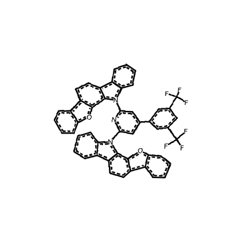 FC(F)(F)c1cc(-c2cc(-n3c4ccccc4c4ccc5c6ccccc6oc5c43)nc(-n3c4ccccc4c4ccc5c6ccccc6oc5c43)c2)cc(C(F)(F)F)c1